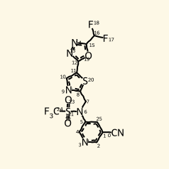 N#Cc1cncc(N(Cc2ncc(-c3nnc(C(F)F)o3)s2)S(=O)(=O)C(F)(F)F)c1